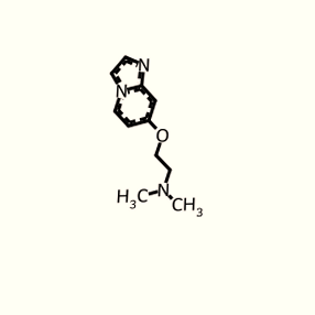 CN(C)CCOc1ccn2ccnc2c1